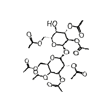 CC(=O)OC[C@H]1O[C@H](O[C@@H]2O[C@H](COC(C)=O)[C@H](OC(C)=O)[C@H](OC(C)=O)[C@H]2OC(C)=O)[C@H](OC(C)=O)[C@@H](OC(C)=O)[C@@H]1O